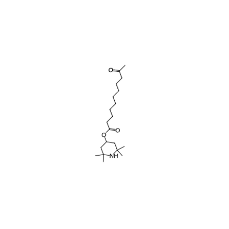 CC(=O)CCCCCCCCC(=O)OC1CC(C)(C)NC(C)(C)C1